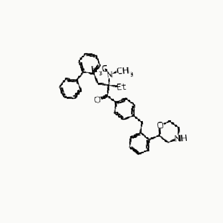 CCC(Cc1ccccc1-c1ccccc1)(C(=O)c1ccc(Cc2ccccc2C2CNCCO2)cc1)N(C)C